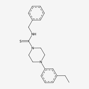 CCc1cccc(N2CCN(C(=S)NCc3ccccc3)CC2)c1